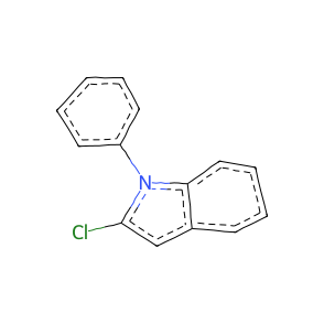 Clc1cc2ccccc2n1-c1ccccc1